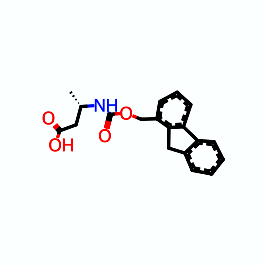 C[C@@H](CC(=O)O)NC(=O)OCc1cccc2c1Cc1ccccc1-2